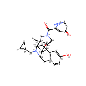 O=C(c1cc(=O)cc[nH]1)N1C[C@H]2C[C@@]34CCC1C2C31CCN(CC2CC2)C4Cc2ccc(O)cc21